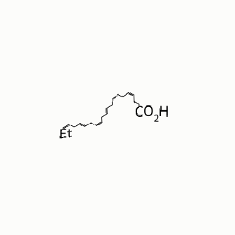 CC/C=C\C/C=C/C/C=C\C/C=C/C/C=C\C/C=C\CCC(=O)O